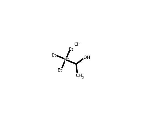 CC[N+](CC)(CC)C(C)O.[Cl-]